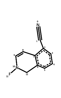 N#Cc1cccc2c1C=CN(F)C2